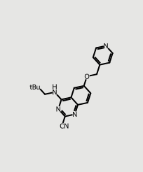 CC(C)(C)CNc1nc(C#N)nc2ccc(OCc3ccncc3)cc12